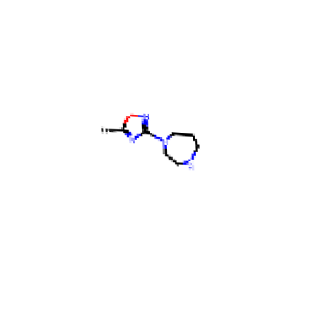 CC(C)c1nc(N2CCCNCC2)no1